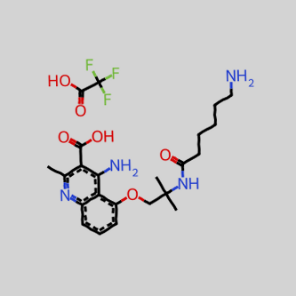 Cc1nc2cccc(OCC(C)(C)NC(=O)CCCCCN)c2c(N)c1C(=O)O.O=C(O)C(F)(F)F